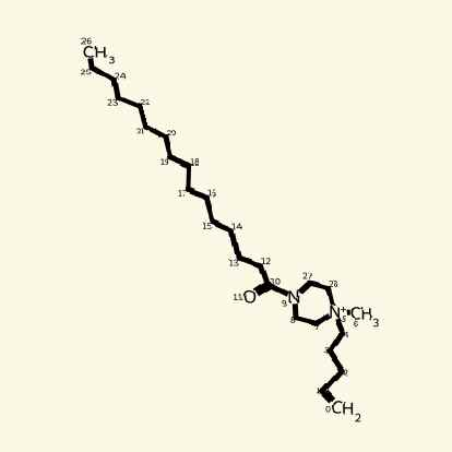 C=CCCC[N+]1(C)CCN(C(=O)CCCCCCCCCCCCCCC)CC1